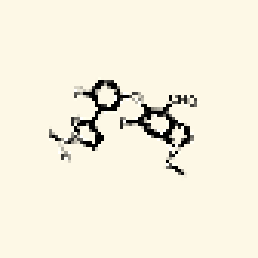 O=Cc1c(Oc2ccc(F)c(-c3ccn(PI)n3)c2)c(F)cc2c1ccn2SI